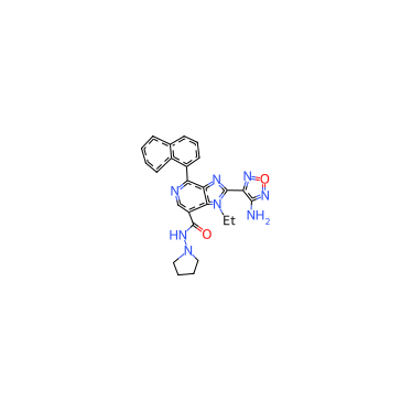 CCn1c(-c2nonc2N)nc2c(-c3cccc4ccccc34)ncc(C(=O)NN3CCCC3)c21